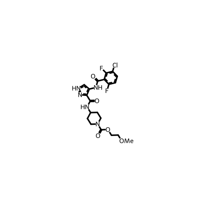 COCCOC(=O)N1CCC(NC(=O)c2n[nH]cc2NC(=O)c2c(F)ccc(Cl)c2F)CC1